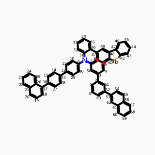 c1cc(-c2cccc(N(c3ccc(-c4ccc(-c5cccc6ccccc56)cc4)cc3)c3ccccc3-c3ccc4sc5ccccc5c4c3)c2)cc(-c2ccc3ccccc3c2)c1